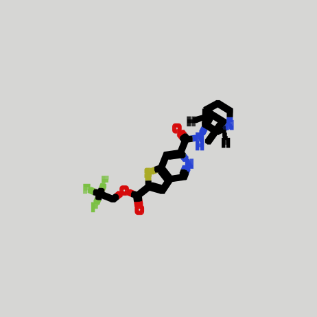 C[C@H]1[C@H](NC(=O)c2cc3sc(C(=O)OCC(F)(F)F)cc3cn2)C2CCN1CC2